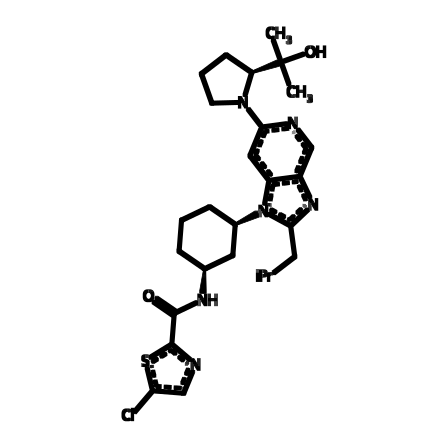 CC(C)Cc1nc2cnc(N3CCC[C@H]3C(C)(C)O)cc2n1[C@@H]1CCC[C@H](NC(=O)c2ncc(Cl)s2)C1